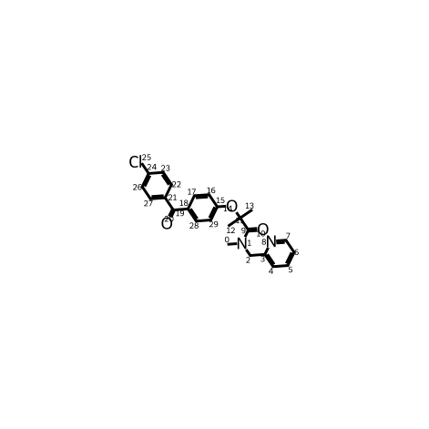 CN(Cc1ccccn1)C(=O)C(C)(C)Oc1ccc(C(=O)c2ccc(Cl)cc2)cc1